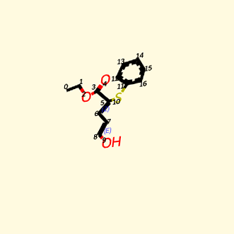 CCOC(=O)/C(=C/C=C/O)Sc1ccccc1